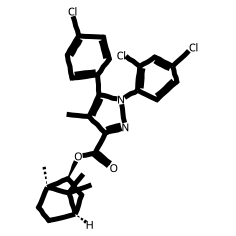 Cc1c(C(=O)O[C@H]2C[C@H]3CC[C@]2(C)C3(C)C)nn(-c2ccc(Cl)cc2Cl)c1-c1ccc(Cl)cc1